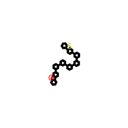 c1cc(-c2cccc(-c3cccc(-c4ccc5c(c4)oc4ccccc45)c3)c2)cc(-c2cccc(-c3cccc(-c4ccc5c(c4)sc4ccccc45)c3)c2)c1